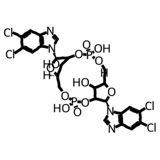 O=P1(O)OC[C@H]2O[C@@H](n3cnc4cc(Cl)c(Cl)cc43)C(OP(=O)(O)OC[C@H]3O[C@@H](n4cnc5cc(Cl)c(Cl)cc54)C(O1)C3O)C2O